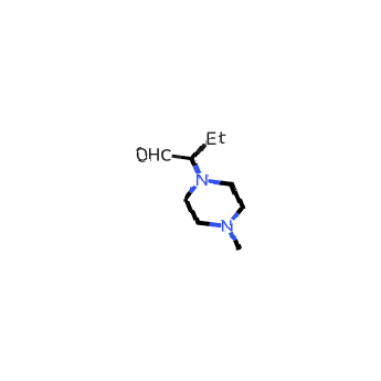 CCC(C=O)N1CCN(C)CC1